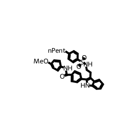 CCCCCc1ccc(S(=O)(=O)NCCc2c(-c3ccc(C(=O)Nc4ccc(OC)cc4)cc3)[nH]c3ccccc23)cc1